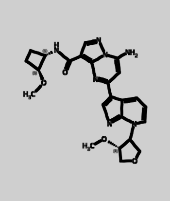 CO[C@H]1COCC1n1cccc2c(-c3cc(N)n4ncc(C(=O)N[C@H]5CC[C@@H]5OC)c4n3)cnc1-2